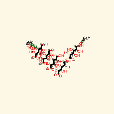 O=C([O-])[C@H](O)[C@@H](O)[C@H](O)[C@H](O)CO.O=C([O-])[C@H](O)[C@@H](O)[C@H](O)[C@H](O)CO.O=C([O-])[C@H](O)[C@@H](O)[C@H](O)[C@H](O)CO.O=C([O-])[C@H](O)[C@@H](O)[C@H](O)[C@H](O)CO.O=C([O-])[C@H](O)[C@@H](O)[C@H](O)[C@H](O)CO.[Al+3].[Al+3].[Ca+2].[Ca+2].[O-]Cl.[O-]Cl.[O-]Cl.[O-]Cl.[O-]Cl